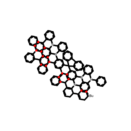 CC(C)(C)c1cc2c3c(c1)N(c1ccccc1)c1ccccc1B3c1cc3c(cc1N2C1=C(C2C=CC=CC2)C=CCC1C1=CCCC=C1)N(c1ccccc1)c1cc2c(cc1C31c3ccccc3-c3ccccc31)B1c3ccccc3N(c3ccccc3-c3ccccc3)c3cc(N(c4ccccc4)c4ccccc4-c4ccccc4)cc(c31)N2c1ccccc1